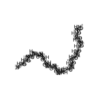 CC(=O)Nc1cn(C)c(C(=O)Nc2cc(C(=O)Nc3cn(C)c(C(=O)NCCC(=O)Nc4cn(C)c(C(=O)Nc5cc(C(=O)Nc6cn(C)c(C(=O)NCCCC(=O)Nc7cn(C)c(C(=O)Nc8cc(C(=O)Nc9cn(C)c(C(=O)NCCC(=O)Nc%10cc(C(=O)Nc%11cc(C(=O)Nc%12cc(C(=O)NCCC(=O)NCCCN(C)C)n(C)c%12)n(C)c%11)n(C)c%10)n9)n(C)c8)n7)n6)n(C)c5)n4)n3)n(C)c2)n1